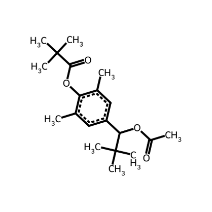 CC(=O)OC(c1cc(C)c(OC(=O)C(C)(C)C)c(C)c1)C(C)(C)C